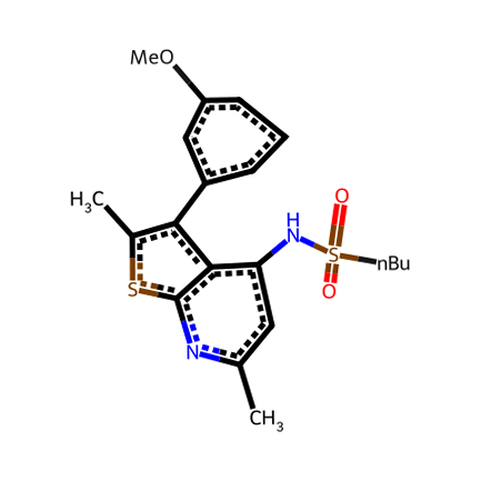 CCCCS(=O)(=O)Nc1cc(C)nc2sc(C)c(-c3cccc(OC)c3)c12